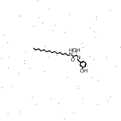 CCCCCCCCCCCCCCNC(=O)[C@H](CO)/N=C/c1cccc(O)c1